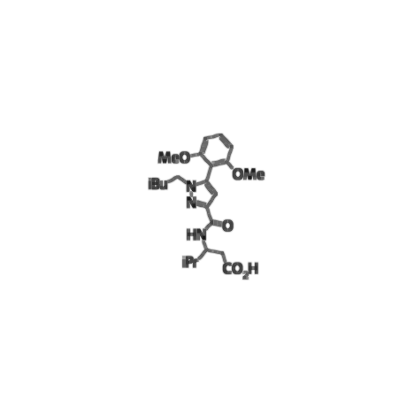 CCC(C)Cn1nc(C(=O)NC(CC(=O)O)C(C)C)cc1-c1c(OC)cccc1OC